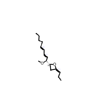 CC/C=C1\C[C@H](C(/C=C/C=C/CCCC)OC)O1